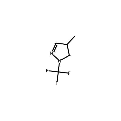 CC1[C]=NN(C(F)(F)F)[CH]1